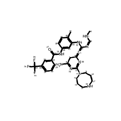 CN/C=N\C(=C=C1CC(N)=NC(N2CCCNCCC2)=N1)Nc1cc(NC(=O)c2cccc(C(F)(F)F)c2)ccc1C